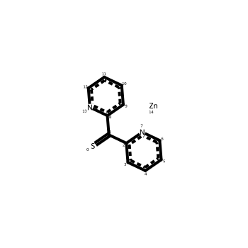 S=C(c1ccccn1)c1ccccn1.[Zn]